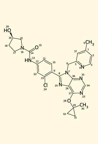 Cc1ccnc(Cn2c(-c3ccc(NC(=O)N4CC[C@@H](O)C4)cc3Cl)nc3c(OC4(C)CC4)ncnc32)c1